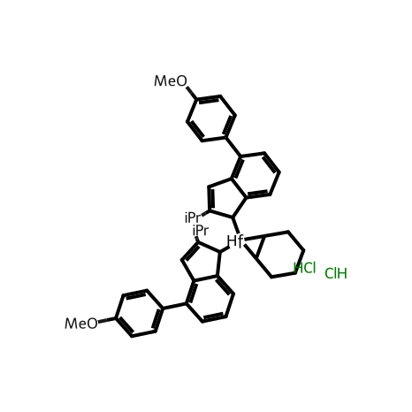 COc1ccc(-c2cccc3c2C=C(C(C)C)[CH]3[Hf]2([CH]3C(C(C)C)=Cc4c(-c5ccc(OC)cc5)cccc43)[CH]3CCCC[CH]32)cc1.Cl.Cl